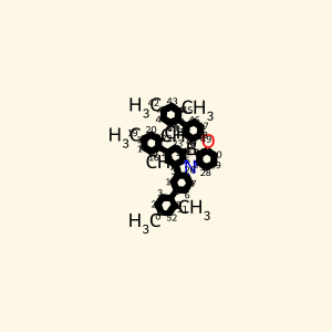 CC1=C=C=C(c2ccc3c(c2)c2cc(-c4c(C)cc(C)cc4C)cc4c2n3-c2cccc3c2B4c2cc(-c4c(C)cc(C)cc4C)ccc2O3)C(C)=C1